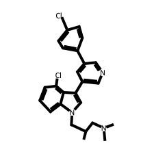 CC(CN(C)C)Cn1cc(-c2cncc(-c3ccc(Cl)cc3)c2)c2c(Cl)cccc21